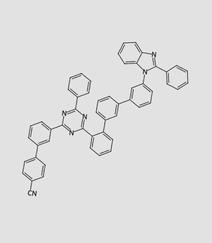 N#Cc1ccc(-c2cccc(-c3nc(-c4ccccc4)nc(-c4ccccc4-c4cccc(-c5cccc(-n6c(-c7ccccc7)nc7ccccc76)c5)c4)n3)c2)cc1